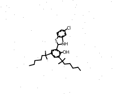 CCCCCC(C)(C)c1cc(C2Nc3cc(Cl)ccc3S2)c(O)c(C(C)(C)CCCCC)c1